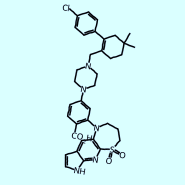 CC1(C)CCC(CN2CCN(c3ccc(C(=O)O)c(N4CCCS(=O)(=O)c5nc6[nH]ccc6cc54)c3)CC2)=C(c2ccc(Cl)cc2)C1